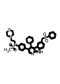 CS(=O)(=O)N(CCN1CCOCC1)c1ccc(-c2cnc3[nH]c4ccc(CS(=O)(=O)c5ccccc5)cc4c3c2C2=CC=CCC2)cc1